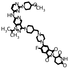 COC1CCN(c2nccc(Nc3cc4c(cn3)c(N3CCC(CN5CCN(c6cc7c(cc6F)C(=O)N(C6CCC(=O)NC6=O)C7=O)CC5)CC3)nn4C(C)C)n2)CC1